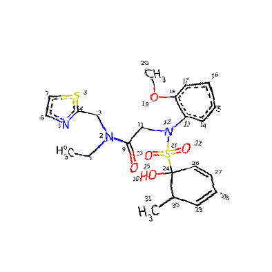 CCN(Cc1nccs1)C(=O)CN(c1ccccc1OC)S(=O)(=O)C1(O)C=CC=CC1C